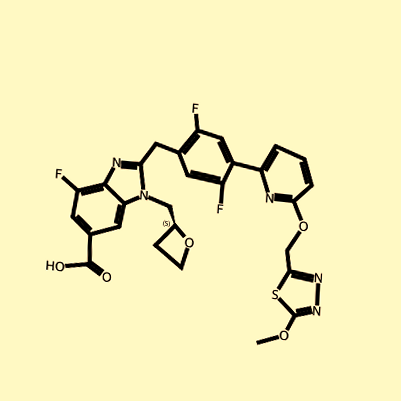 COc1nnc(COc2cccc(-c3cc(F)c(Cc4nc5c(F)cc(C(=O)O)cc5n4C[C@@H]4CCO4)cc3F)n2)s1